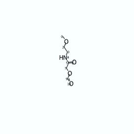 COCCNC(=O)CO[C]=O